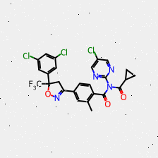 Cc1cc(C2=NOC(c3cc(Cl)cc(Cl)c3)(C(F)(F)F)C2)ccc1C(=O)N(C(=O)C1CC1)c1ncc(Cl)cn1